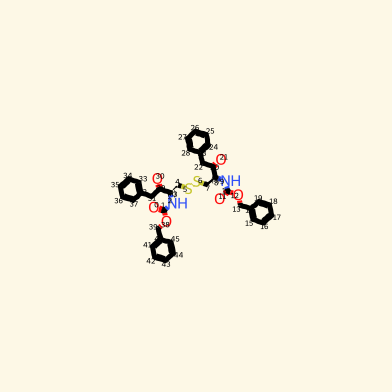 O=C(N[C@@H](CSSC[C@H](NC(=O)OCc1ccccc1)C(=O)Cc1ccccc1)C(=O)Cc1ccccc1)OCc1ccccc1